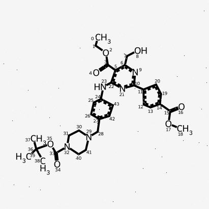 CCOC(=O)c1c(CO)nc(-c2ccc(C(=O)OC)cc2)nc1Nc1ccc(CN2CCN(C(=O)OC(C)(C)C)CC2)cc1